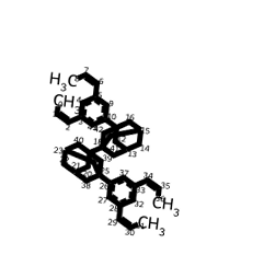 C/C=C\c1cc(/C=C\C)cc(C23CC4CC(C2)CC(C25CC6CC(CC(c7cc(/C=C\C)cc(/C=C\C)c7)(C6)C2)C5)(C4)C3)c1